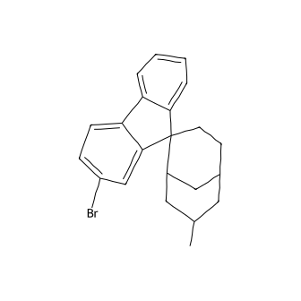 CC1CC2CCC3(c4ccccc4-c4ccc(Br)cc43)C(C1)C2